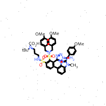 COc1ccc(CN(Cc2ccc(OC)cc2)S(=O)(=O)c2c(S(=O)(=O)NCCCN(C(=O)O)C(C)(C)C)ccc(-c3cccc4c3nc(N)n4C)c2-c2nnn(Cc3ccc(OC)cc3)n2)cc1